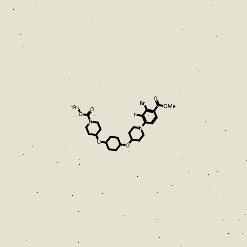 COC(=O)c1ccc(N2CCC(OC3CCC(OC4CCN(C(=O)OC(C)(C)C)CC4)CC3)CC2)c(F)c1Br